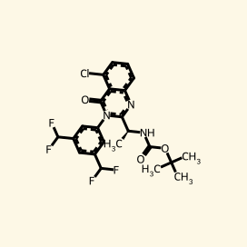 C[C@H](NC(=O)OC(C)(C)C)c1nc2cccc(Cl)c2c(=O)n1-c1cc(C(F)F)cc(C(F)F)c1